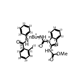 CCCCNC(=O)n1c(NC(=O)OC)nc2ccccc21.O=C(Nc1ccccc1)c1ccccc1I